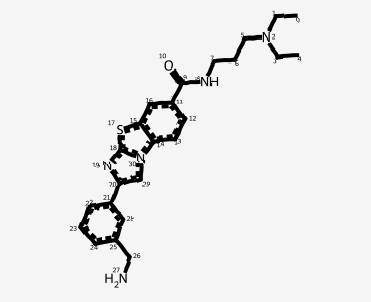 CCN(CC)CCCNC(=O)c1ccc2c(c1)sc1nc(-c3cccc(CN)c3)cn12